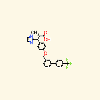 Cn1ccnc1C(CC(=O)O)c1ccc(OCc2cccc(-c3ccc(C(F)(F)F)cc3)c2)cc1